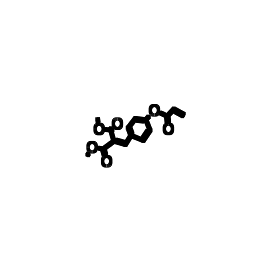 C=CC(=O)Oc1ccc(C=C(C(=O)OC)C(=O)OC)cc1